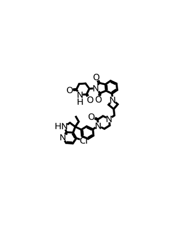 CCC1(c2cccc(N3CCN(CC4CN(c5cccc6c5C(=O)N(C5CCC(=O)NC5=O)C6=O)C4)CC3=O)c2)CNc2nccc(Cl)c21